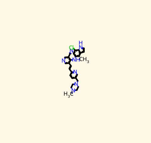 Cc1c(Nc2c(C#N)cncc2/C=C/c2ccc(CN3CCN(C)CC3)cn2)cc(Cl)c2[nH]ccc12